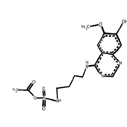 COc1cc2c(NCCCCNS(=O)(=O)OC(N)=O)ncnc2cc1O